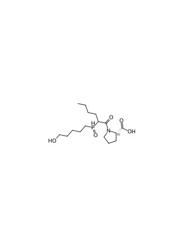 CCCCC(C(=O)N1CCC[C@H]1C(=O)O)[PH](=O)CCCCCO